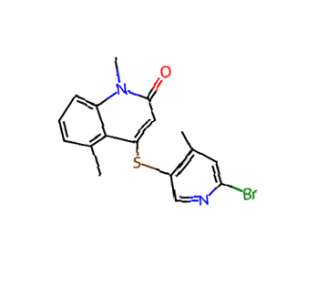 Cc1cc(Br)ncc1Sc1cc(=O)n(C)c2cccc(C)c12